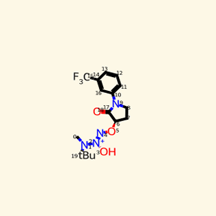 CN(/[N+](O)=N/O[C@@H]1CCN(c2cccc(C(F)(F)F)c2)C1=O)C(C)(C)C